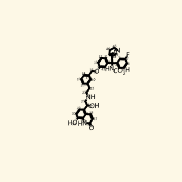 O=C(O)NC(c1cccc(F)c1)(c1cccc(OCc2cccc(CCNCC(O)c3ccc(O)c4[nH]c(=O)ccc34)c2)c1)C1CN2CCC1CC2